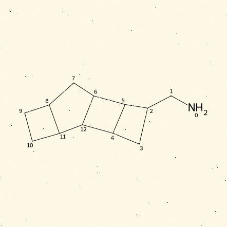 NCC1CC2C1C1CC3CCC3C12